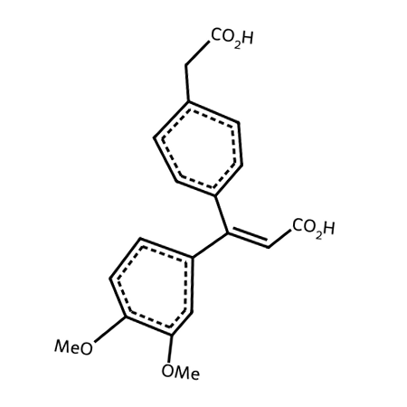 COc1ccc(C(=CC(=O)O)c2ccc(CC(=O)O)cc2)cc1OC